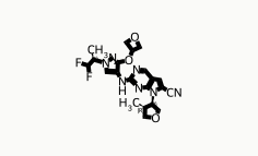 C[C@H]1COC[C@@H]1n1c(C#N)cc2cnc(Nc3cn([C@@H](C)C(F)F)nc3OC3COC3)nc21